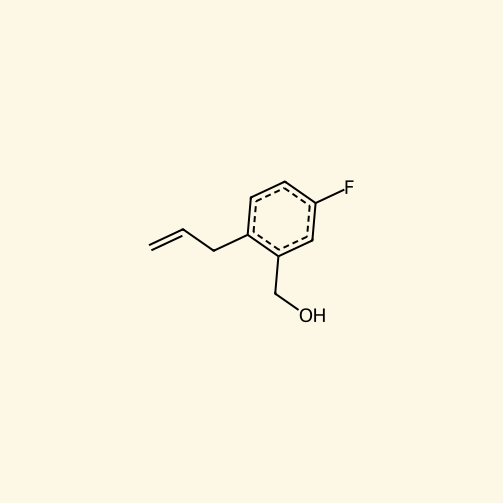 C=CCc1ccc(F)cc1CO